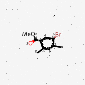 COC(=O)c1cc(Br)c(C)cc1C